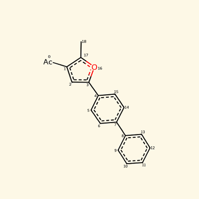 CC(=O)c1cc(-c2ccc(-c3ccccc3)cc2)oc1C